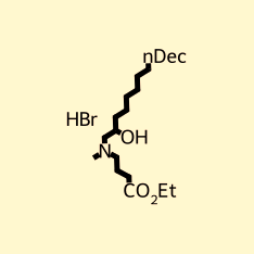 Br.CCCCCCCCCCCCCCCCC(O)CN(C)CCCC(=O)OCC